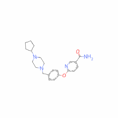 NC(=O)c1ccc(Oc2ccc(CN3CCN(C4CCCC4)CC3)cc2)nc1